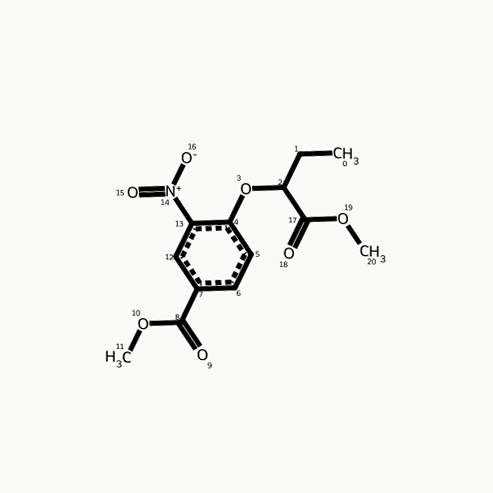 CCC(Oc1ccc(C(=O)OC)cc1[N+](=O)[O-])C(=O)OC